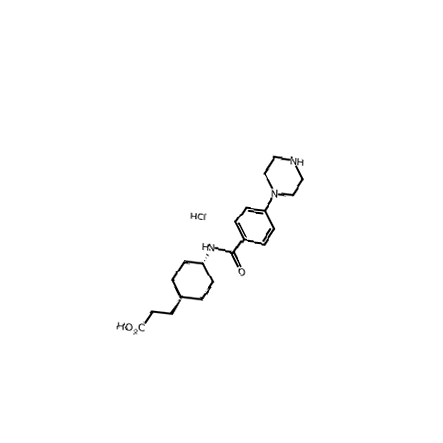 Cl.O=C(O)CC[C@H]1CC[C@H](NC(=O)c2ccc(N3CCNCC3)cc2)CC1